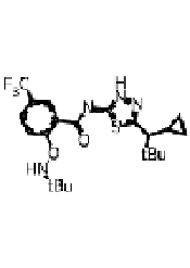 CC(C)(C)NOc1ccc(C(F)(F)F)cc1C(=O)N=c1[nH]nc(C(C2CC2)C(C)(C)C)s1